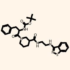 CC(C)(C)OC(=O)NC(Cc1ccccc1)C(=O)N1CCCC(C(=O)NCCNc2nsc3ccccc23)C1